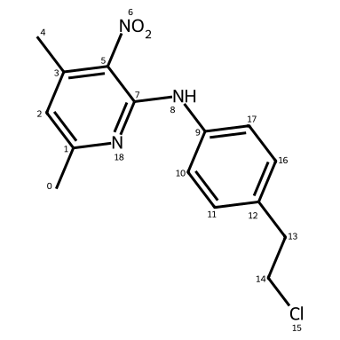 Cc1cc(C)c([N+](=O)[O-])c(Nc2ccc(CCCl)cc2)n1